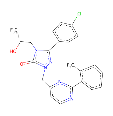 O=c1n(Cc2ccnc(-c3ccccc3C(F)(F)F)n2)nc(-c2ccc(Cl)cc2)n1C[C@H](O)C(F)(F)F